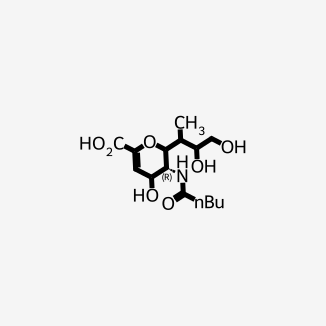 CCCCC(=O)N[C@@H]1C(O)C=C(C(=O)O)OC1C(C)C(O)CO